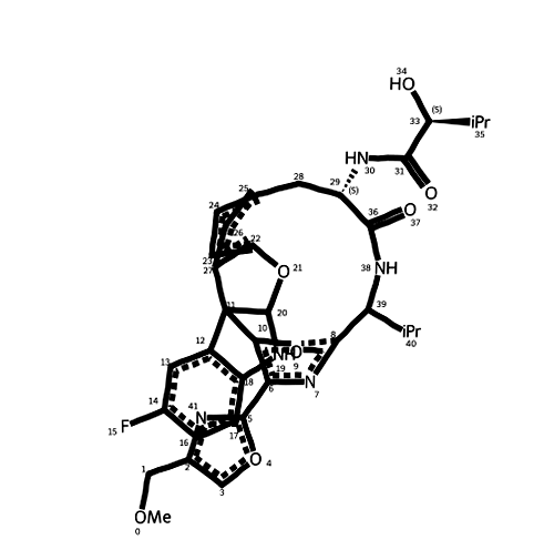 COCc1coc(-c2nc3oc2C24c5cc(F)ccc5NC2Oc2ccc(cc24)C[C@H](NC(=O)[C@@H](O)C(C)C)C(=O)NC3C(C)C)n1